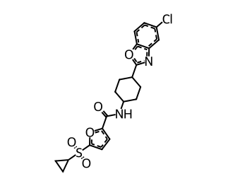 O=C(NC1CCC(c2nc3cc(Cl)ccc3o2)CC1)c1ccc(S(=O)(=O)C2CC2)o1